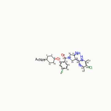 CC(=O)N[C@H]1CC[C@@H](Oc2cc(F)ccc2C(=O)N2CC(=N)/C(=C3/N=C(C)C(Cl)=C(C)N3)C2)CC1